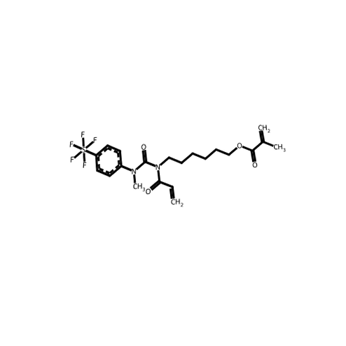 C=CC(=O)N(CCCCCCOC(=O)C(=C)C)C(=O)N(C)c1ccc(S(F)(F)(F)(F)F)cc1